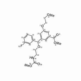 COCCOc1cc(C(=O)OC)cc(C(OCCNC(=O)OC)c2cccc(F)c2)c1